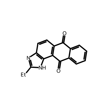 CCc1nc2ccc3c(c2[nH]1)C(=O)c1ccccc1C3=O